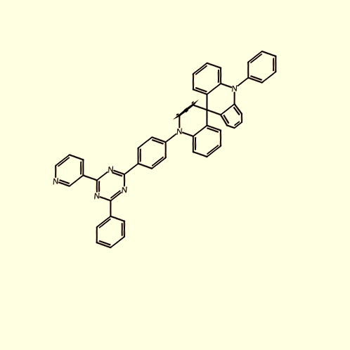 c1ccc(-c2nc(-c3ccc(N4c5ccccc5C5(c6ccccc6N(c6ccccc6)c6ccccc65)c5ccccc54)cc3)nc(-c3cccnc3)n2)cc1